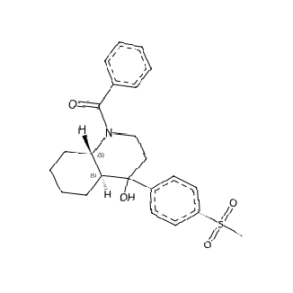 CS(=O)(=O)c1ccc(C2(O)CCN(C(=O)c3ccccc3)[C@H]3CCCC[C@@H]32)cc1